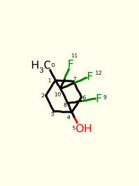 CC12CCC(O)(CC1)C(F)C2(F)F